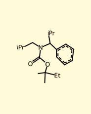 CCC(C)(C)OC(=O)N(CC(C)C)C(c1ccccc1)C(C)C